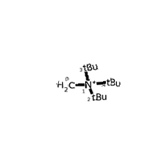 [CH2][N+](C(C)(C)C)(C(C)(C)C)C(C)(C)C